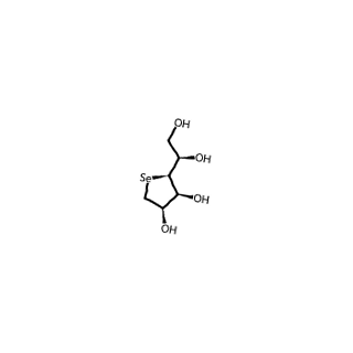 OC[C@@H](O)[C@@H]1[Se]C[C@H](O)[C@@H]1O